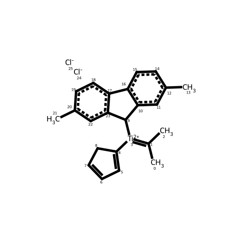 C[C](C)=[Ti+2]([C]1=CC=CC1)[CH]1c2cc(C)ccc2-c2ccc(C)cc21.[Cl-].[Cl-]